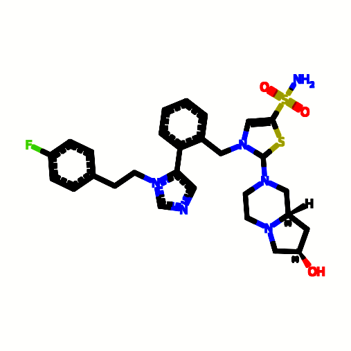 NS(=O)(=O)C1=CN(Cc2ccccc2-c2cncn2CCc2ccc(F)cc2)C(N2CCN3C[C@H](O)C[C@H]3C2)S1